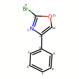 Brc1nc(-c2ccccc2)co1